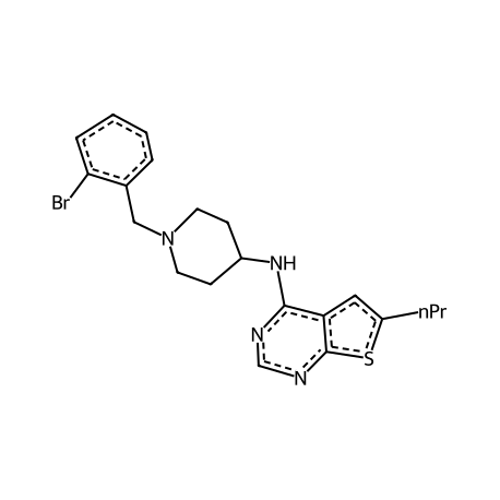 CCCc1cc2c(NC3CCN(Cc4ccccc4Br)CC3)ncnc2s1